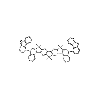 CC1(C)c2cc3c(cc2-c2cc4c(cc21)-c1c(cc(-c2cccc5sc6ccccc6c25)c2ccccc12)C4(C)C)C(C)(C)c1cc(-c2cccc4sc5ccccc5c24)c2ccccc2c1-3